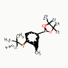 CCC1(CC)OB(c2ccc(SC(C)(C)C(=O)O)c(C)c2)OC1(CC)CC